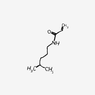 C=CC(=O)NCCCC(C)C